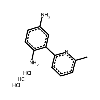 Cc1cccc(-c2cc(N)ccc2N)n1.Cl.Cl.Cl